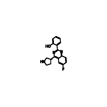 Oc1ccccc1-c1nc([C]2CCNC2)c2cc(F)ccc2n1